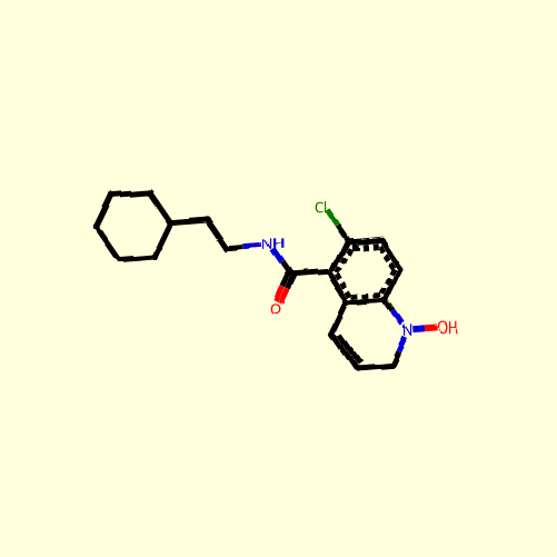 O=C(NCCC1CCCCC1)c1c(Cl)ccc2c1C=CCN2O